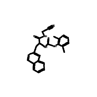 Cc1cccc(C)c1NC(=O)NC(Cc1ccc2ccccc2c1)C(=O)NCC#N